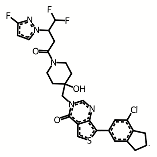 O=C(CC(C(F)F)n1ccc(F)n1)N1CCC(O)(Cn2cnc3c(-c4cc(Cl)c5c(c4)C[CH]C5)scc3c2=O)CC1